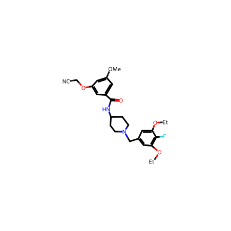 CCOc1cc(CN2CCC(NC(=O)c3cc(OC)cc(OCC#N)c3)CC2)cc(OCC)c1F